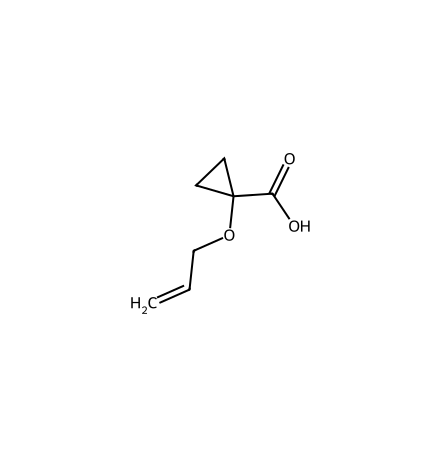 C=CCOC1(C(=O)O)CC1